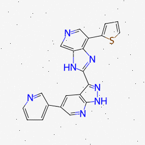 c1cncc(-c2cnc3[nH]nc(-c4nc5c(-c6cccs6)cncc5[nH]4)c3c2)c1